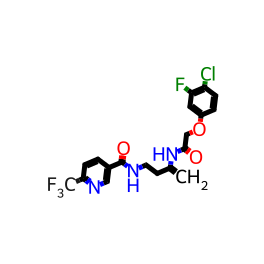 C=C(CCNC(=O)c1ccc(C(F)(F)F)nc1)NC(=O)COc1ccc(Cl)c(F)c1